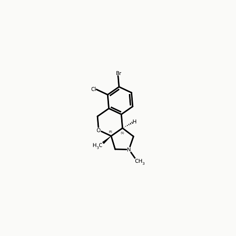 CN1C[C@@H]2c3ccc(Br)c(Cl)c3CO[C@@]2(C)C1